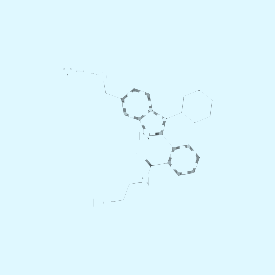 COOCc1ccc2c(C3CCCCC3)c(-c3ccccc3C(=O)NCCO)[nH]c2c1